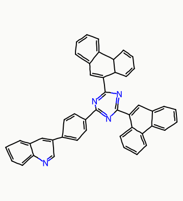 C1=CC2C(c3nc(-c4ccc(-c5cnc6ccccc6c5)cc4)nc(-c4cc5ccccc5c5ccccc45)n3)=Cc3ccccc3C2C=C1